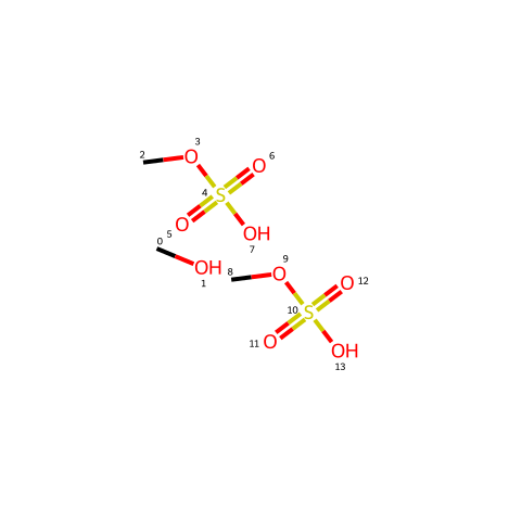 CO.COS(=O)(=O)O.COS(=O)(=O)O